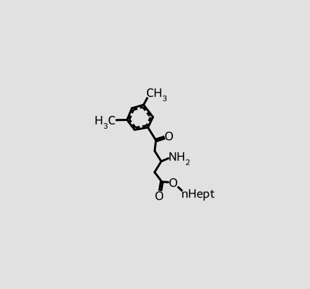 CCCCCCCOC(=O)CC(N)CC(=O)c1cc(C)cc(C)c1